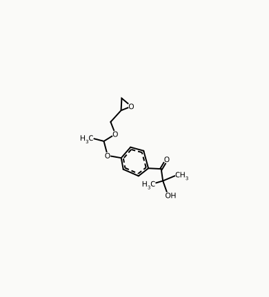 CC(OCC1CO1)Oc1ccc(C(=O)C(C)(C)O)cc1